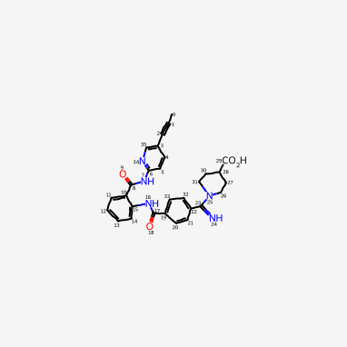 CC#Cc1ccc(NC(=O)c2ccccc2NC(=O)c2ccc(C(=N)N3CCC(C(=O)O)CC3)cc2)nc1